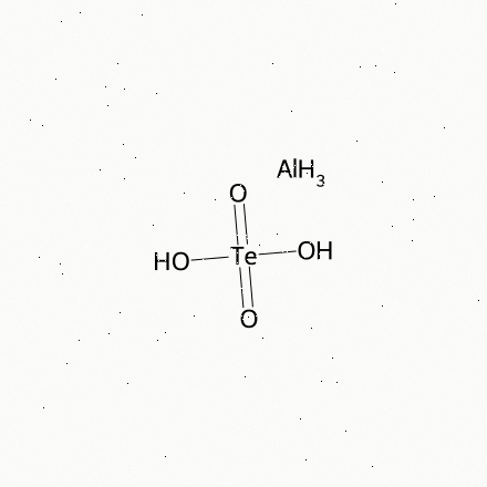 O=[Te](=O)(O)O.[AlH3]